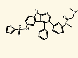 CN(C)CC(=O)N(C)c1cccc(-c2cnc3[nH]c4ccc(NS(=O)(=O)c5cccs5)cc4c3c2-c2ccccc2)c1